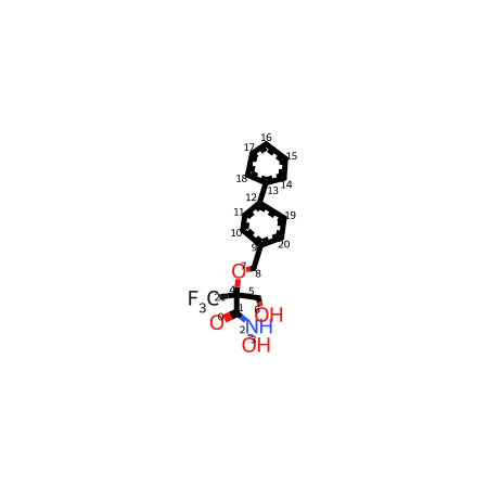 O=C(NO)C(CO)(OCc1ccc(-c2ccccc2)cc1)C(F)(F)F